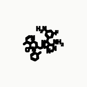 Cc1ccccc1-n1c(Cn2nc(-c3cc(N)cc(F)c3)c3c(N)ncnc32)cc2nccc(C)c2c1=O